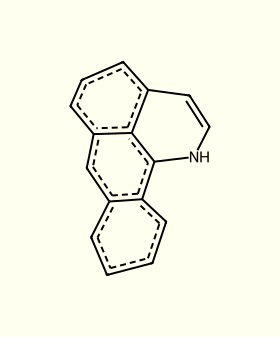 C1=Cc2cccc3cc4ccccc4c(c23)N1